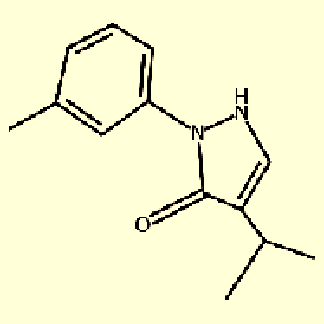 Cc1cccc(-n2[nH]cc(C(C)C)c2=O)c1